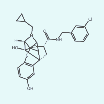 O=C(NCc1cccc(Cl)c1)[C@H]1C[C@@]2(O)[C@@H]3N(CC4CC4)C4C5C43Cc3ccc(O)cc3[C@]52C1